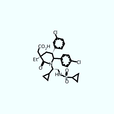 CC[C@]1(CC(=O)O)C[C@H](c2cccc(Cl)c2)C(c2ccc(Cl)cc2)N([C@H](CNS(=O)(=O)C2CC2)C2CC2)C1=O